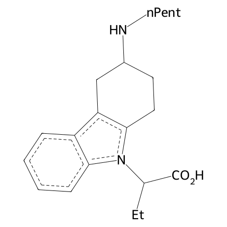 CCCCCNC1CCc2c(c3ccccc3n2C(CC)C(=O)O)C1